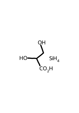 O=C(O)C(O)CO.[SiH4]